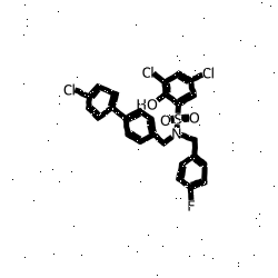 O=S(=O)(c1cc(Cl)cc(Cl)c1O)N(Cc1ccc(F)cc1)Cc1ccc(-c2ccc(Cl)cc2)cc1